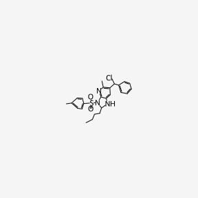 CCCCC1Nc2cc(C(Cl)c3ccccc3)c(C)nc2N1S(=O)(=O)c1ccc(C)cc1